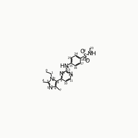 CCn1c(C)nc(C)c1-c1ccnc(Nc2ccc(S(=O)(=O)NC)cc2)n1